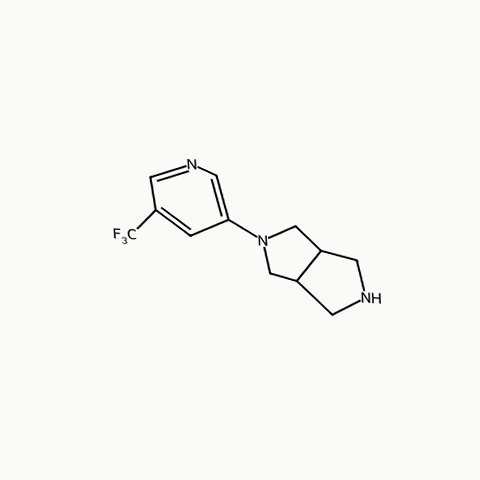 FC(F)(F)c1cncc(N2CC3CNCC3C2)c1